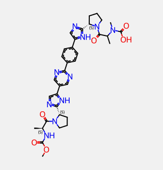 COC(=O)N[C@@H](C)C(=O)N1CCC[C@H]1c1ncc(-c2cnc(-c3ccc(-c4cnc([C@@H]5CCCN5C(=O)C(C)N(C)C(=O)O)[nH]4)cc3)nc2)[nH]1